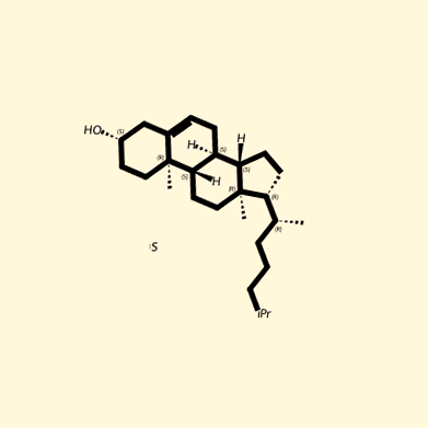 CC(C)CCC[C@@H](C)[C@H]1CC[C@H]2[C@@H]3CC=C4C[C@@H](O)CC[C@]4(C)[C@H]3CC[C@]12C.[S]